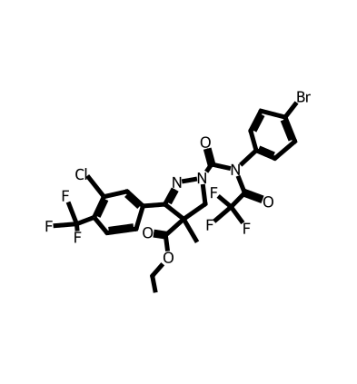 CCOC(=O)C1(C)CN(C(=O)N(C(=O)C(F)(F)F)c2ccc(Br)cc2)N=C1c1ccc(C(F)(F)F)c(Cl)c1